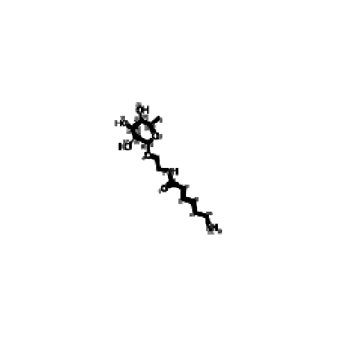 C[C@H]1O[C@@H](OCCNC(=O)CCCCCN)[C@H](O)[C@@H](O)[C@H]1O